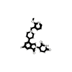 COc1ncccc1CN1CCC(c2cc(F)cc3c2CN(C2CCC(=O)NC2=O)C3=O)CC1